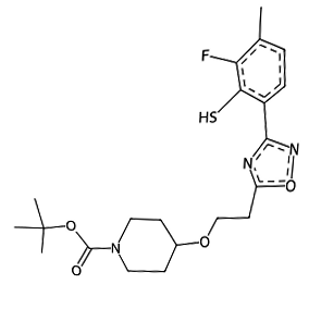 Cc1ccc(-c2noc(CCOC3CCN(C(=O)OC(C)(C)C)CC3)n2)c(S)c1F